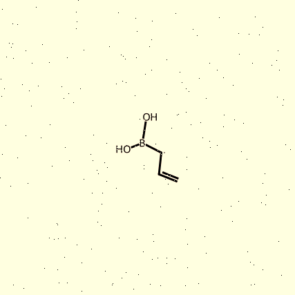 C=C[CH]B(O)O